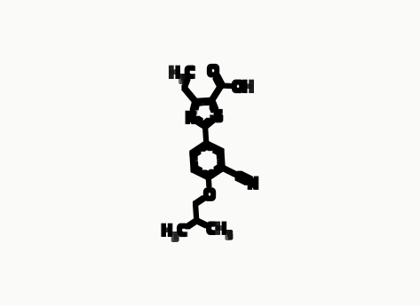 CCc1nc(-c2ccc(OCC(C)C)c(C#N)c2)sc1C(=O)O